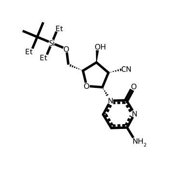 CCC(C)(C)[Si](CC)(CC)OC[C@H]1O[C@@H](n2ccc(N)nc2=O)[C@@H](C#N)[C@@H]1O